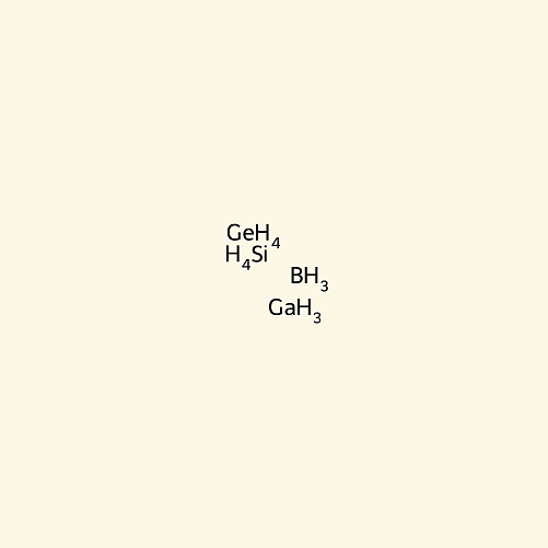 B.[GaH3].[GeH4].[SiH4]